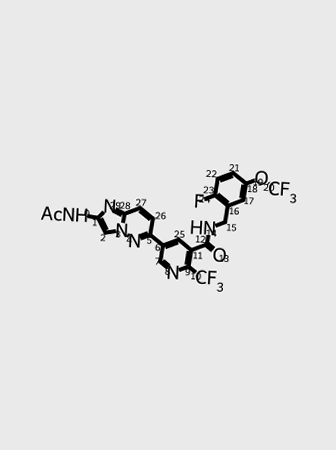 CC(=O)Nc1cn2nc(-c3cnc(C(F)(F)F)c(C(=O)NCc4cc(OC(F)(F)F)ccc4F)c3)ccc2n1